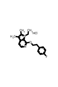 CCn1c(C)c(C)c2ccnc(OCCc3ccc(F)cc3)c21.Cl